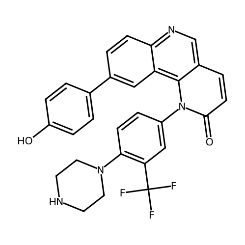 O=c1ccc2cnc3ccc(-c4ccc(O)cc4)cc3c2n1-c1ccc(N2CCNCC2)c(C(F)(F)F)c1